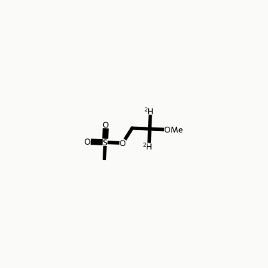 [2H]C([2H])(COS(C)(=O)=O)OC